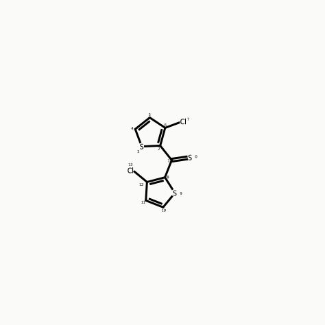 S=C(c1sccc1Cl)c1sccc1Cl